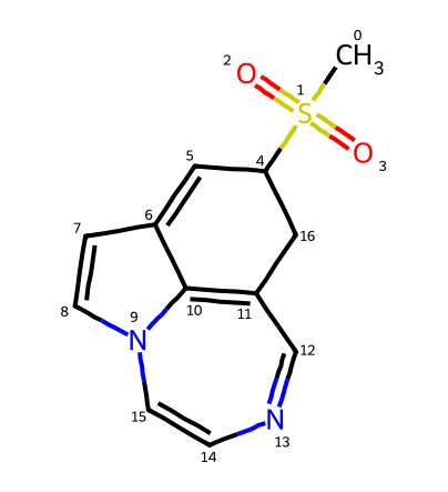 CS(=O)(=O)C1C=c2ccn3c2=C(C=NC=C3)C1